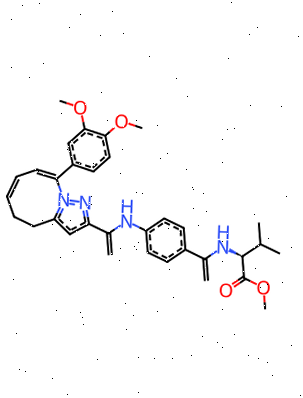 C=C(N[C@H](C(=O)OC)C(C)C)c1ccc(NC(=C)c2cc3n(n2)/C(c2ccc(OC)c(OC)c2)=C\C=C/CC3)cc1